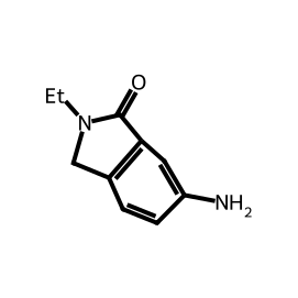 CCN1Cc2ccc(N)cc2C1=O